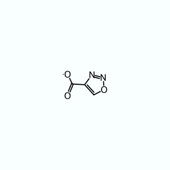 [O]C(=O)c1conn1